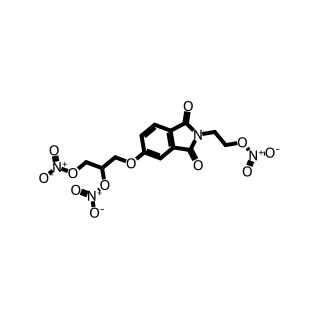 O=C1c2ccc(OCC(CO[N+](=O)[O-])O[N+](=O)[O-])cc2C(=O)N1CCO[N+](=O)[O-]